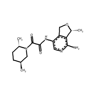 C[C@H]1CC[C@H](C)N(C(=O)C(=O)Nc2cnc(N)c3c2CO[C@@H]3C)C1